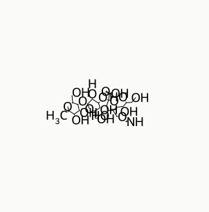 CC1OC(CO)C(OC2OC(CO)C(O)C(OC3(C(=O)O)CC(O)C(COC=N)C(C(O)C(O)CO)O3)C2O)C(O)C1O